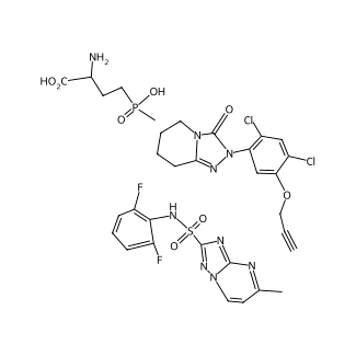 C#CCOc1cc(-n2nc3n(c2=O)CCCC3)c(Cl)cc1Cl.CP(=O)(O)CCC(N)C(=O)O.Cc1ccn2nc(S(=O)(=O)Nc3c(F)cccc3F)nc2n1